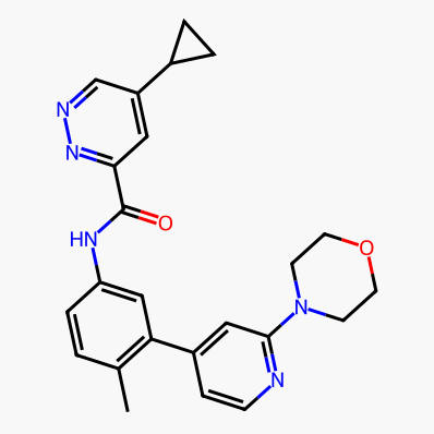 Cc1ccc(NC(=O)c2cc(C3CC3)cnn2)cc1-c1ccnc(N2CCOCC2)c1